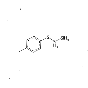 Cc1ccc(S[SiH2][SiH3])cc1